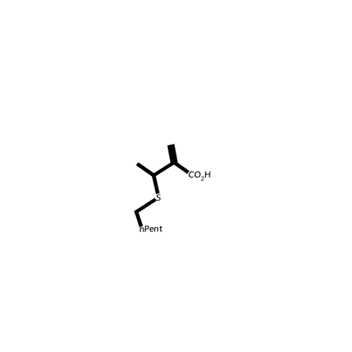 C=C(C(=O)O)C(C)SCCCCCC